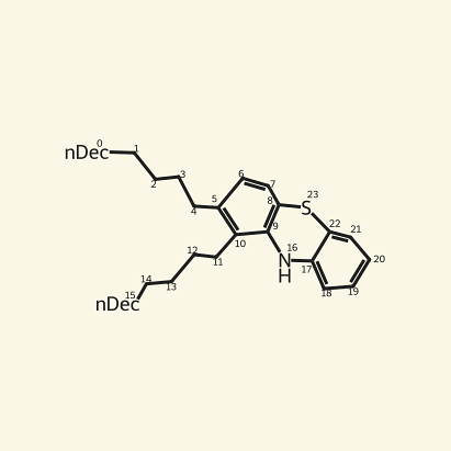 CCCCCCCCCCCCCCc1ccc2c(c1CCCCCCCCCCCCCC)Nc1ccccc1S2